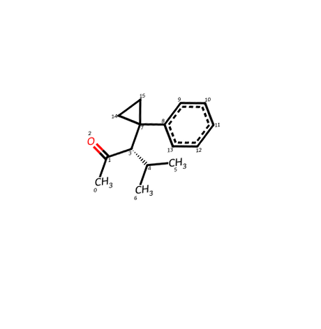 CC(=O)[C@@H](C(C)C)C1(c2ccccc2)CC1